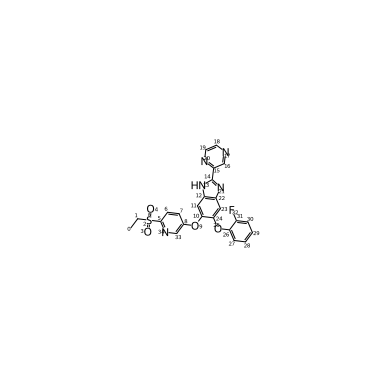 CCS(=O)(=O)c1ccc(Oc2cc3[nH]c(-c4cnccn4)nc3cc2Oc2ccccc2F)cn1